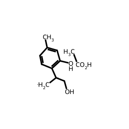 CC(=O)O.[CH2][C](CO)c1ccc(C)cc1O